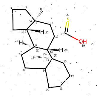 C[C@@]12CCC[C@H]1[C@@H]1CCC3CCCC[C@]3(C)[C@H]1CC2.OC=S